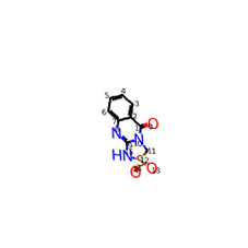 O=c1c2ccccc2nc2n1CS(=O)(=O)N2